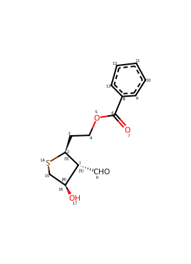 O=C[C@H]1[C@H](CCOC(=O)c2ccccc2)SC[C@@H]1O